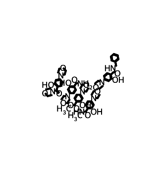 CNC(=O)c1ccc(N2CCOCC2)cc1O.COC(=O)c1ccc(N2CCOCC2)cc1O.NC(=O)c1ccc(N2CCOCC2)cc1O.O=C(NCc1ccccc1)c1ccc(N2CCOCC2)cc1O.O=C(c1ccc(N2CCOCC2)cc1O)N1CCOCC1